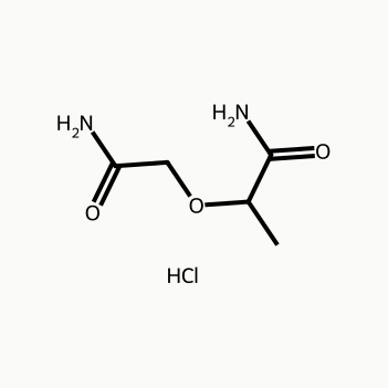 CC(OCC(N)=O)C(N)=O.Cl